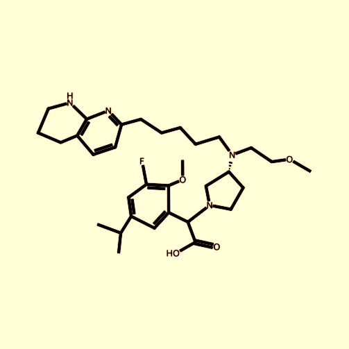 COCCN(CCCCCc1ccc2c(n1)NCCC2)[C@@H]1CCN(C(C(=O)O)c2cc(C(C)C)cc(F)c2OC)C1